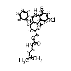 CN(C)CCNC(=O)OC[C@H]1CC[C@@H]2[C@H](O1)c1cc(Cl)cc(F)c1N[C@H]2C1C=CC=CC1